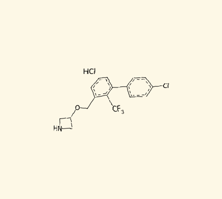 Cl.FC(F)(F)c1c(COC2CNC2)cccc1-c1ccc(Cl)cc1